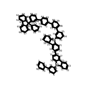 c1ccc(-c2cccc(-n3c4ccccc4c4cc(-c5ccc6c(c5)c5ccccc5n6-c5cccc(-c6cccc(-c7ccc(-c8cccc(C9(c%10ccccc%10)c%10ccccc%10-c%10ccccc%109)c8)cc7)c6)c5)ccc43)c2)cc1